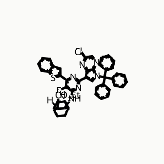 CCOC(=O)[C@H]1C2CCC(CC2)[C@@H]1Nc1nc(-c2cn(C(c3ccccc3)(c3ccccc3)c3ccccc3)c3ncc(Cl)nc23)nc(-c2cc3ccccc3s2)c1F